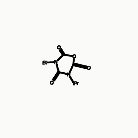 CCn1c(=O)oc(=O)n(C(C)C)c1=O